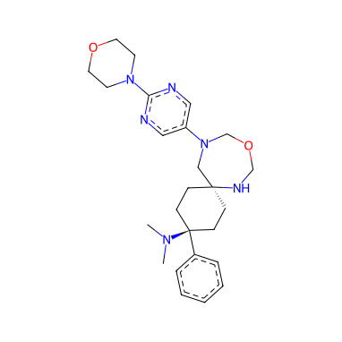 CN(C)[C@]1(c2ccccc2)CC[C@]2(CC1)CN(c1cnc(N3CCOCC3)nc1)COCN2